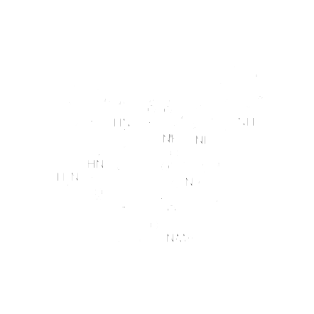 CNC(=O)OC(Cc1ccccc1)C(=O)N1CCCC[C@H]1C(=O)NC(Cc1c[nH]c2ccccc12)C(=O)NC(CCCNC(N)=O)C(=O)NCc1ccc(C)cc1